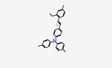 CCc1cc(C)ccc1/C=C/c1ccc(N(c2ccc(C)cc2)c2ccc(C)cc2)cc1